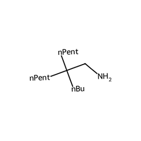 CCCCCC(CN)(CCCC)CCCCC